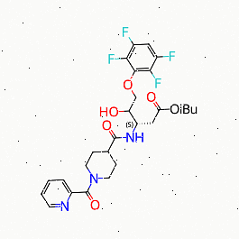 CC(C)COC(=O)C[C@H](NC(=O)C1CCN(C(=O)c2ccccn2)CC1)C(O)COc1c(F)c(F)cc(F)c1F